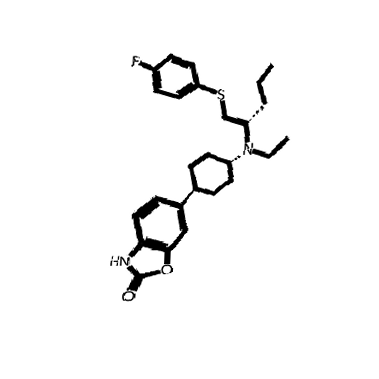 CCC[C@@H](CSc1ccc(F)cc1)N(CC)[C@H]1CC[C@H](c2ccc3[nH]c(=O)oc3c2)CC1